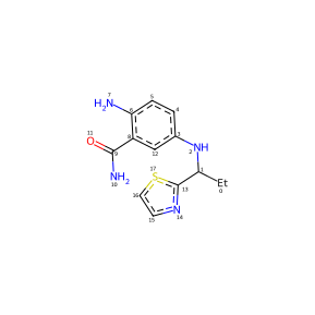 CCC(Nc1ccc(N)c(C(N)=O)c1)c1nccs1